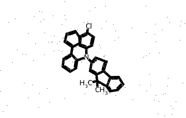 CC1(C)c2ccccc2-c2ccc(N(c3ccc(Cl)cc3)c3ccccc3C3=CC=CCC3)cc21